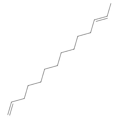 C=CCCCCCCCCCC=CC